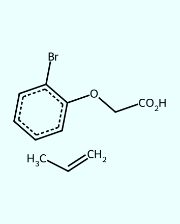 C=CC.O=C(O)COc1ccccc1Br